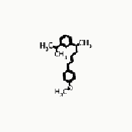 COc1ccc(CC=CCC(C)c2cccc(C(C)C)c2)cc1